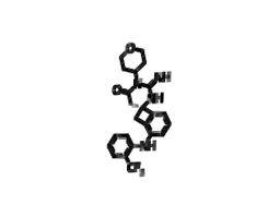 N=C1N[C@]2(CC(=O)N1C1CCOCC1)Cc1c(Nc3ccccc3C(F)(F)F)cccc12